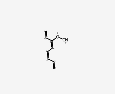 C=C/C=C\C=C(/C=C)OC#N